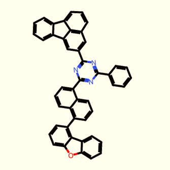 c1ccc(-c2nc(-c3cc4c5c(cccc5c3)-c3ccccc3-4)nc(-c3cccc4c(-c5cccc6oc7ccccc7c56)cccc34)n2)cc1